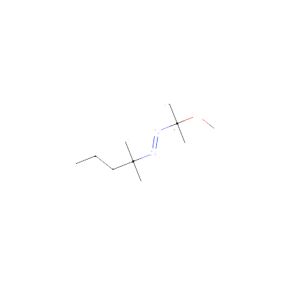 CCCC(C)(C)N=NC(C)(C)OC